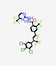 O=C(NNc1nccc(C(F)(F)F)n1)c1ccc(C(F)=CC(c2cc(Cl)c(Cl)c(Cl)c2)C(F)(F)F)cc1C(F)(F)F